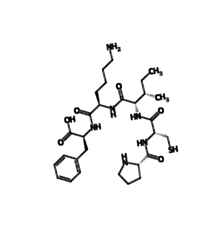 CC[C@H](C)[C@H](NC(=O)[C@H](CS)NC(=O)[C@@H]1CCCN1)C(=O)N[C@H](CCCCN)C(=O)N[C@@H](Cc1ccccc1)C(=O)O